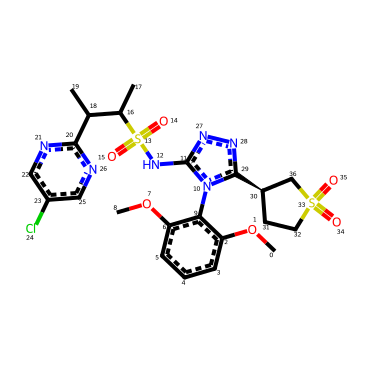 COc1cccc(OC)c1-n1c(NS(=O)(=O)C(C)C(C)c2ncc(Cl)cn2)nnc1[C@@H]1CCS(=O)(=O)C1